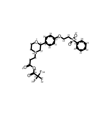 O=C(CCN1CCOC(c2ccc(OCCS(=O)(=O)c3ccccc3)cc2)C1)OC(=O)C(F)(F)F